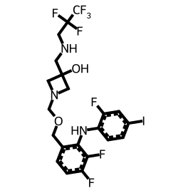 OC1(CNCC(F)(F)C(F)(F)F)CN(COCc2ccc(F)c(F)c2Nc2ccc(I)cc2F)C1